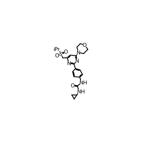 CC(C)S(=O)(=O)Cc1cc(N2CCOCC2)nc(-c2ccc(NC(=O)NC3CC3)cc2)n1